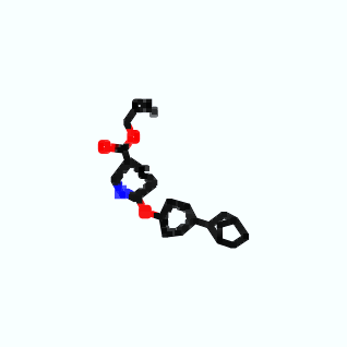 CCOC(=O)c1ccc(Oc2ccc(C3CC4CCC3C4)cc2)nc1